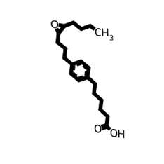 CCCCC1OC1CCCc1ccc(CCCCCC(=O)O)cc1